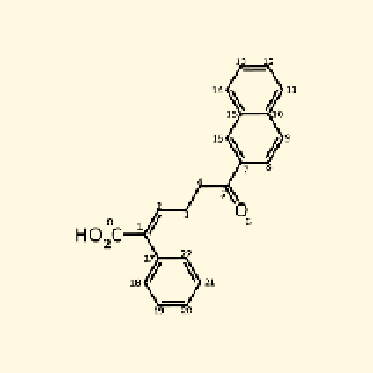 O=C(O)C(=CCCC(=O)c1ccc2ccccc2c1)c1ccccc1